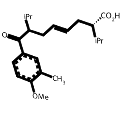 COc1ccc(C(=O)C(C/C=C/C[C@H](C(=O)O)C(C)C)C(C)C)cc1C